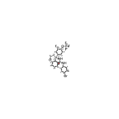 O=C(Nc1ccc(Br)nc1)NC1(c2ccc(OC(F)(F)F)c(F)c2)CCOc2cccnc21